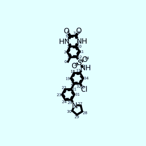 Cc1cc2[nH]c(=O)c(=O)[nH]c2cc1S(=O)(=O)Nc1ccc(-c2cccc(N3CCCC3)c2)c(Cl)c1